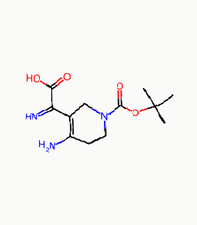 CC(C)(C)OC(=O)N1CCC(N)=C(C(=N)C(=O)O)C1